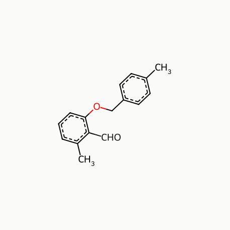 Cc1ccc(COc2cccc(C)c2C=O)cc1